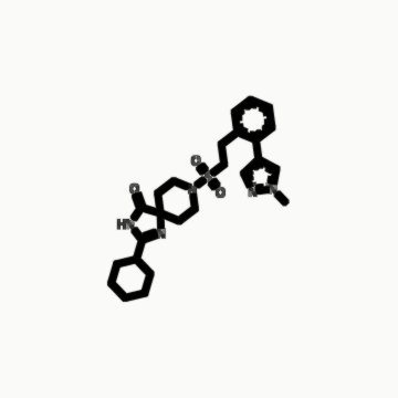 Cn1cc(-c2ccccc2CCS(=O)(=O)N2CCC3(CC2)N=C(C2CCCCC2)NC3=O)cn1